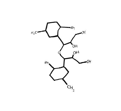 CC1CCC(C(C)C)C(C(OC(C(O)CO)C2CC(C)CCC2C(C)C)C(O)CO)C1